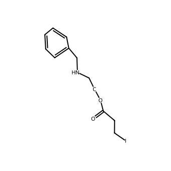 O=C(CCI)OCCNCc1ccccc1